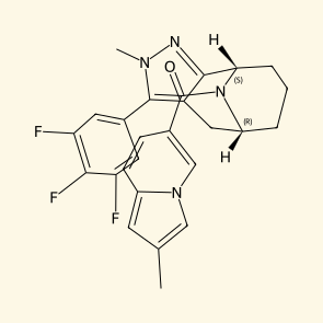 Cc1cc2ccc(C(=O)N3[C@@H]4CCC[C@H]3c3nn(C)c(-c5cc(F)c(F)c(F)c5)c3C4)cn2c1